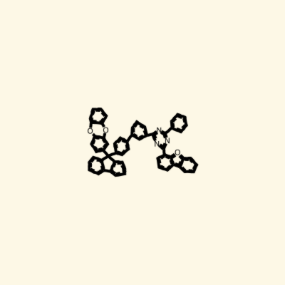 c1ccc(-c2nc(-c3cccc(-c4ccc(C5(c6ccc7c(c6)Oc6ccccc6O7)c6ccccc6-c6ccccc65)cc4)c3)nc(-c3cccc4c3oc3ccccc34)n2)cc1